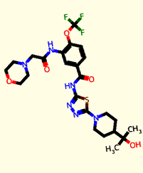 CC(C)(O)C1CCN(c2nnc(NC(=O)c3ccc(OC(F)(F)F)c(NC(=O)CN4CCOCC4)c3)s2)CC1